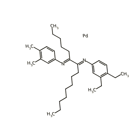 CCCCCCCCC(=Nc1ccc(CC)c(CC)c1)C(CCCCC)=Nc1ccc(C)c(C)c1.[Pd]